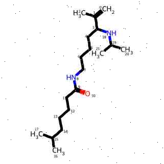 C=C(C)C(CCCCNC(=O)CCCCC(C)C)NC(C)C